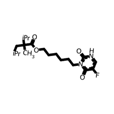 CC(C)CC(C)(C(=O)OCCCCCCn1c(=O)[nH]cc(F)c1=O)C(C)C